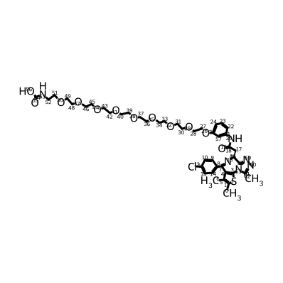 Cc1sc2c(c1C)C(c1ccc(Cl)cc1)=N[C@@H](CC(=O)Nc1cccc(OCCOCCOCCOCCOCCOCCOCCOCCOCCNC(=O)O)c1)c1nnc(C)n1-2